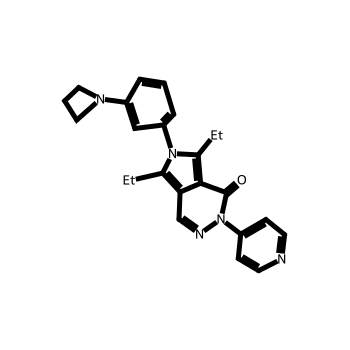 CCc1c2cnn(-c3ccncc3)c(=O)c2c(CC)n1-c1cccc(N2CCC2)c1